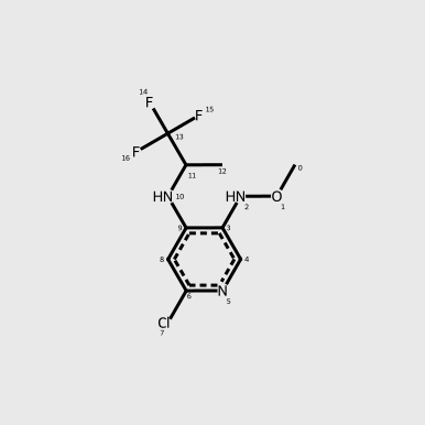 CONc1cnc(Cl)cc1NC(C)C(F)(F)F